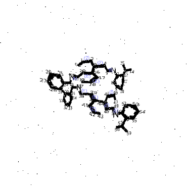 C\C=C/C(=C/C=N/c1ccccc1C(C)C)C(/C=C\C)=C/C=N/Cc1ccccc1-c1ccccc1C/N=C/C=C(\C=C/C)C(/C=C\C)=C/C=N/c1ccccc1C(C)C